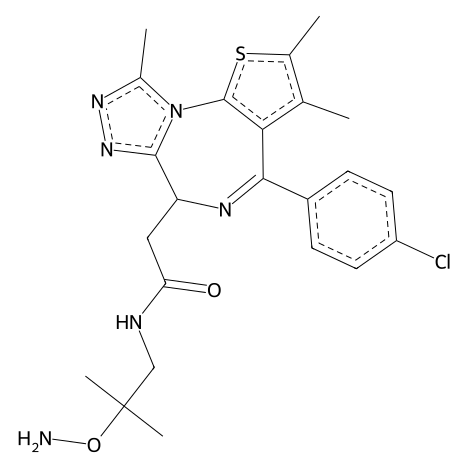 Cc1sc2c(c1C)C(c1ccc(Cl)cc1)=NC(CC(=O)NCC(C)(C)ON)c1nnc(C)n1-2